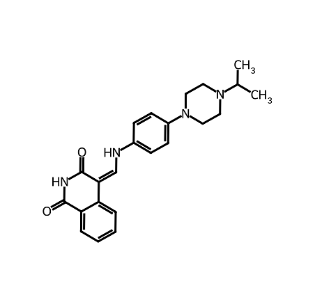 CC(C)N1CCN(c2ccc(N/C=C3\C(=O)NC(=O)c4ccccc43)cc2)CC1